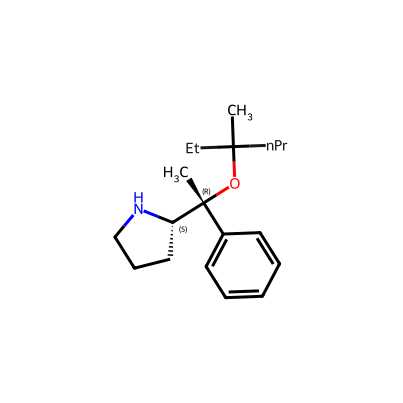 CCCC(C)(CC)O[C@](C)(c1ccccc1)[C@@H]1CCCN1